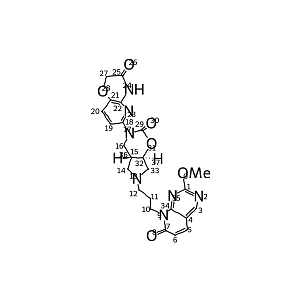 COc1ncc2ccc(=O)n(CCCN3C[C@@H]4CN(c5ccc6c(n5)NC(=O)CO6)C(=O)O[C@H]4C3)c2n1